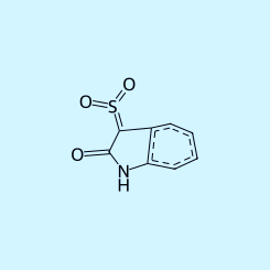 O=C1Nc2ccccc2C1=S(=O)=O